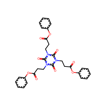 O=C(CCn1c(=O)n(CCC(=O)Oc2ccccc2)c(=O)n(CCC(=O)Oc2ccccc2)c1=O)Oc1ccccc1